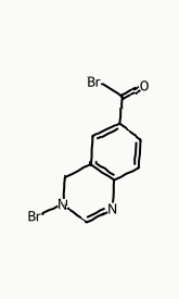 O=C(Br)c1ccc2c(c1)CN(Br)C=N2